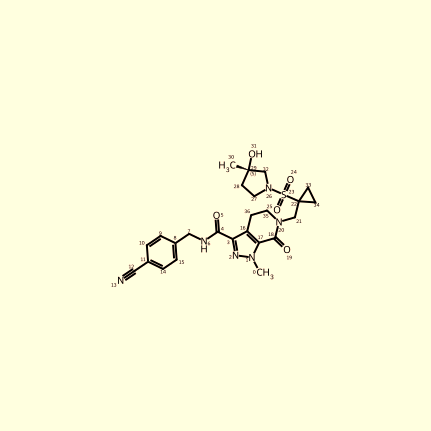 Cn1nc(C(=O)NCc2ccc(C#N)cc2)c2c1C(=O)N(CC1(S(=O)(=O)N3CC[C@](C)(O)C3)CC1)CC2